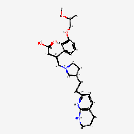 COC(C)COc1cccc(C(CC(=O)O)CN2CCC(CCc3ccc4c(n3)NCCC4)C2)c1